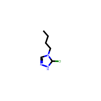 CCCCN1C=NNC1Cl